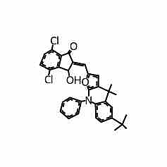 CC(C)(C)c1ccc2c(c1)C(C)(C)c1cc(/C=C3/C(=O)c4c(Cl)ccc(Cl)c4C3O)oc1N2c1ccccc1